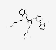 Cc1ccccc1-c1nccc(Nc2cn(COCC[Si](C)(C)C)nc2-c2nc3ccccc3n2COCC[Si](C)(C)C)n1